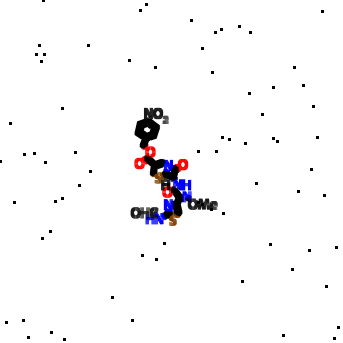 CON=C(C(=O)NC1C(=O)N2C=C(C(=O)OCc3ccc([N+](=O)[O-])cc3)CS[C@H]12)c1csc(NC=O)n1